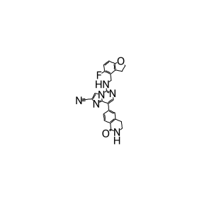 N#Cc1cn2c(NCc3c(F)ccc4c3CCO4)ncc(-c3ccc4c(c3)CCNC4=O)c2n1